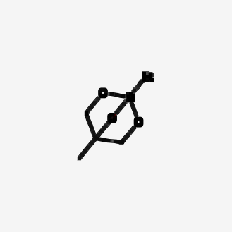 CC[Si]12OCC(C)(CO1)CO2